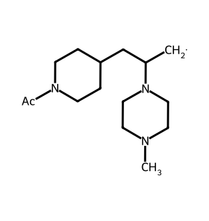 [CH2]C(CC1CCN(C(C)=O)CC1)N1CCN(C)CC1